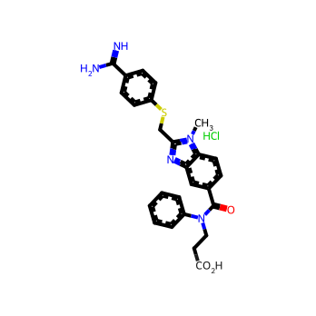 Cl.Cn1c(CSc2ccc(C(=N)N)cc2)nc2cc(C(=O)N(CCC(=O)O)c3ccccc3)ccc21